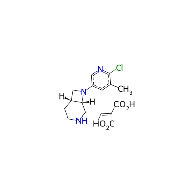 Cc1cc(N2C[C@H]3CCNC[C@H]32)cnc1Cl.O=C(O)C=CC(=O)O